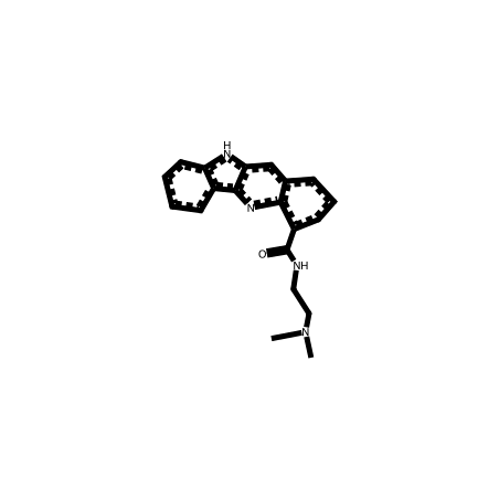 CN(C)CCNC(=O)c1cccc2cc3[nH]c4ccccc4c3nc12